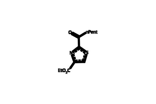 CCCCCC(=O)c1nc(C(=O)OCC)cs1